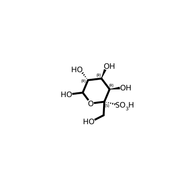 O=S(=O)(O)[C@]1(CO)OC(O)[C@H](O)[C@@H](O)[C@H]1O